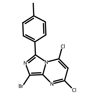 Cc1ccc(-c2nc(Br)c3nc(Cl)cc(Cl)n23)cc1